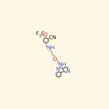 N#Cc1cc(CNCCCCOCCNc2nc3ccccc3c3cnccc23)ccc1OC(F)(F)F